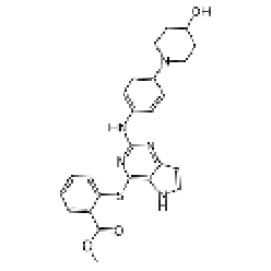 COC(=O)c1ccccc1Sc1nc(Nc2ccc(N3CCC(O)CC3)cc2)nc2cc[nH]c12